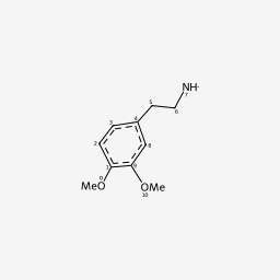 COc1ccc(CC[NH])cc1OC